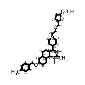 Cc1ccc(COC2CCC3C(CCC4C(C5CCN(CCOC[C@H]6CC[C@@H](C(=O)O)O6)CC5)NC(C)NC34)C2)cc1